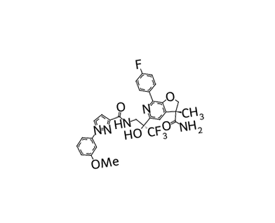 COc1cccc(-n2ccc(C(=O)NC[C@](O)(c3cc4c(c(-c5ccc(F)cc5)n3)OC[C@]4(C)C(N)=O)C(F)(F)F)n2)c1